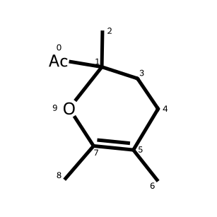 CC(=O)C1(C)CCC(C)=C(C)O1